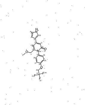 COCc1nc(-c2cn[nH]c2)cc(=O)n1-c1ccc(OCC(F)(F)F)cc1